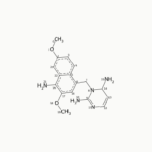 COc1ccc2c(CN3C(N)=NC=CC3N)cc(OC)c(N)c2c1